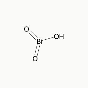 [O]=[Bi](=[O])[OH]